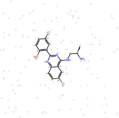 C[C@@H](N)CNc1nc(-c2cc(Cl)ccc2O)nc2ccc(Cl)cc12